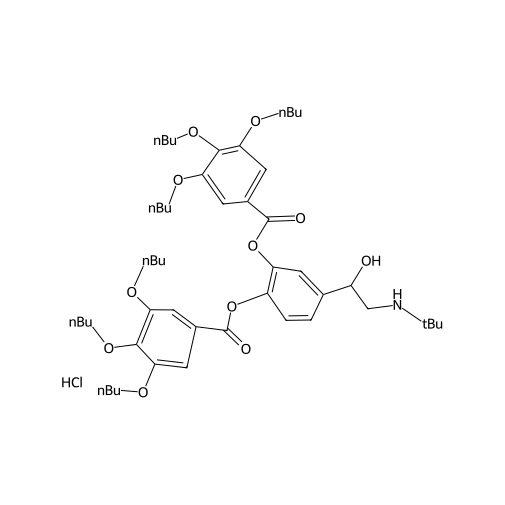 CCCCOc1cc(C(=O)Oc2ccc(C(O)CNC(C)(C)C)cc2OC(=O)c2cc(OCCCC)c(OCCCC)c(OCCCC)c2)cc(OCCCC)c1OCCCC.Cl